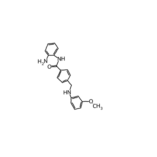 COc1cccc(NCc2ccc(C(=O)Nc3ccccc3N)cc2)c1